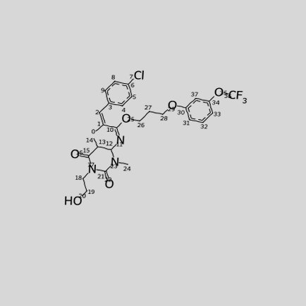 CC(=C/c1ccc(Cl)cc1)/C(=N\C1C(C)C(=O)N(CCO)C(=O)N1C)OCCCOc1cccc(OC(F)(F)F)c1